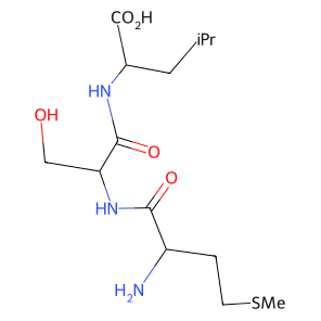 CSCCC(N)C(=O)NC(CO)C(=O)NC(CC(C)C)C(=O)O